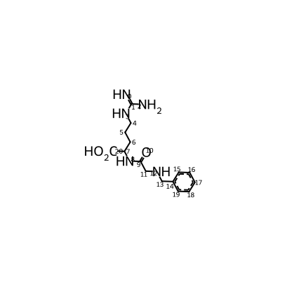 N=C(N)NCCCC(NC(=O)CNCc1ccccc1)C(=O)O